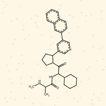 CNC(C)C(=O)NC(C(=O)N1CCCC1c1cncc(-c2ccc3ccccc3c2)c1)C1CCCCC1